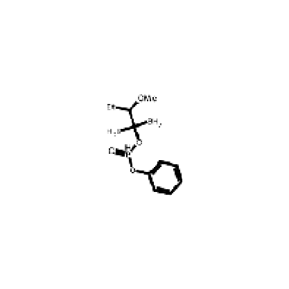 BC(B)(O[PH](=O)Oc1ccccc1)C(CC)OC